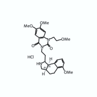 COCCn1c(=O)n(CCC2NC[C@@H]3CCc4c(OC)cccc4[C@H]23)c(=O)c2cc(OC)c(OC)cc21.Cl